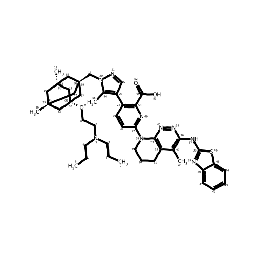 CCCN(CCC)CCO[C@]12C[C@@]3(C)C[C@](C)(C[C@](Cn4ncc(-c5ccc(N6CCCc7c6nnc(Nc6nc8ccccc8s6)c7C)nc5C(=O)O)c4C)(C3)C1)C2